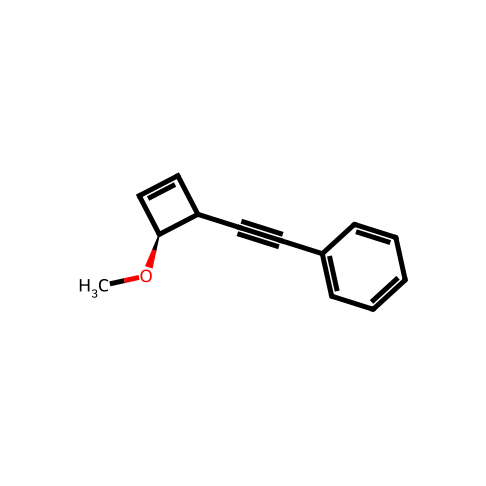 CO[C@H]1C=CC1C#Cc1ccccc1